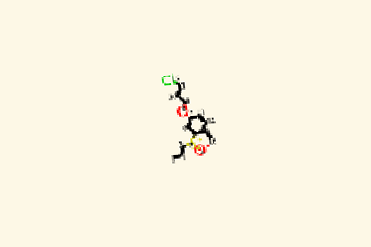 CCC[S+]([O-])c1cc(OC/C=C/Cl)ccc1C